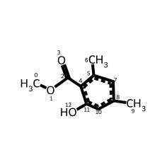 COC(=O)c1c(C)cc(C)cc1O